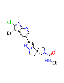 CCNC(=O)N1CCC2(CCn3nc(-c4cnc5[nH]c(Cl)c(CC)c5c4)cc32)C1